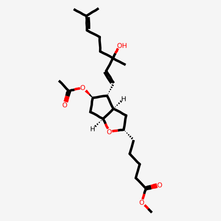 COC(=O)CCCC[C@H]1C[C@@H]2[C@@H](/C=C/C(C)(O)CCC=C(C)C)[C@H](OC(C)=O)C[C@@H]2O1